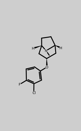 CN1[C@@H]2CC[C@H]1C[C@H](Oc1ccc(F)c(Cl)c1)C2